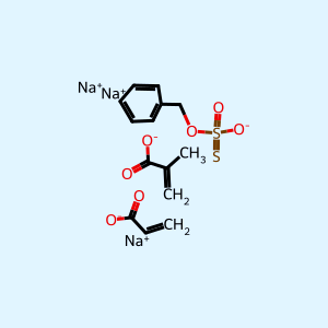 C=C(C)C(=O)[O-].C=CC(=O)[O-].O=S([O-])(=S)OCc1ccccc1.[Na+].[Na+].[Na+]